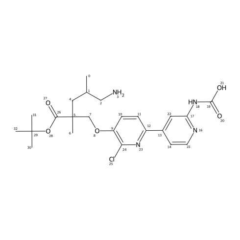 CC(CN)CC(C)(COc1ccc(-c2ccnc(NC(=O)O)c2)nc1Cl)C(=O)OC(C)(C)C